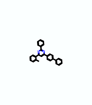 Cc1ccccc1-c1cc(-c2ccc(-c3ccccc3)cc2)nc(-c2ccccc2)n1